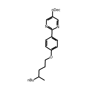 CCCCCCCCCCc1cnc(-c2ccc(OCCCC(C)CCCC)cc2)nc1